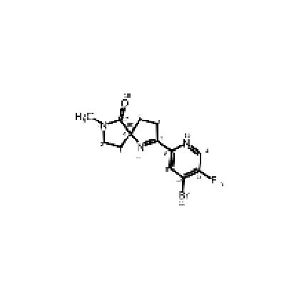 CN1CC[C@]2(CCC(c3cc(Br)c(F)cn3)=N2)C1=O